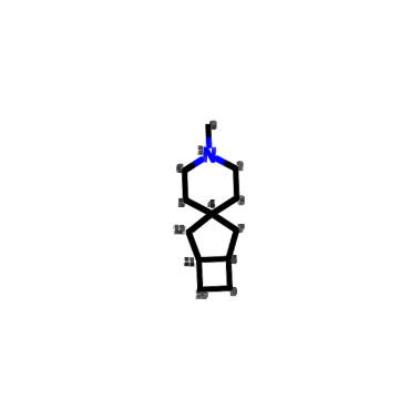 CN1CCC2(CC1)CC1CCC1C2